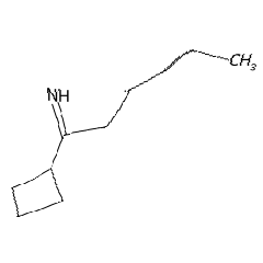 CCC[CH]CC(=N)C1CCC1